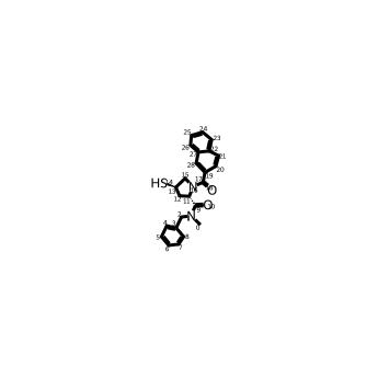 CN(Cc1ccccc1)C(=O)[C@@H]1C[C@@H](S)CN1C(=O)c1ccc2ccccc2c1